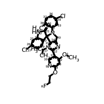 COc1cc(OCCF)ncc1-c1nc2c(n1C(C)C)C1(C(=O)Nc3cc(Cl)ccc31)N(c1cc(Cl)ccc1C)C2